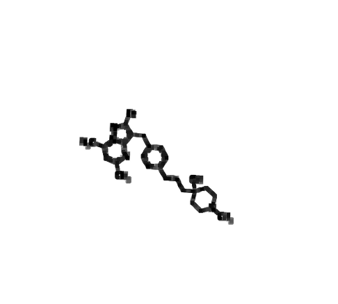 CCc1nn2c(C)cc(C)nc2c1Cc1ccc(/C=C/CC2(O)CCN(C)CC2)cc1